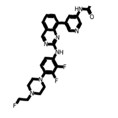 C=CC(=O)Nc1cncc(-c2cccc3cnc(Nc4ccc(N5CCN(CCF)CC5)c(F)c4F)nc23)c1